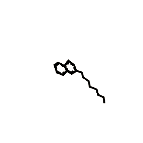 CCCCCCCCc1c[c]c2ccccc2c1